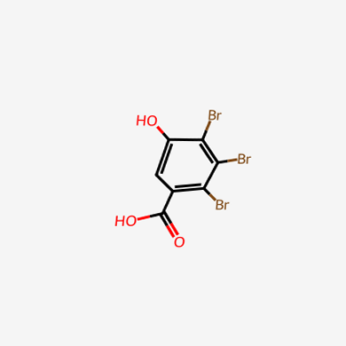 O=C(O)c1cc(O)c(Br)c(Br)c1Br